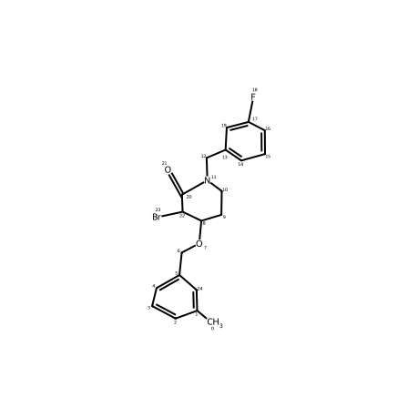 Cc1cccc(COC2CCN(Cc3cccc(F)c3)C(=O)C2Br)c1